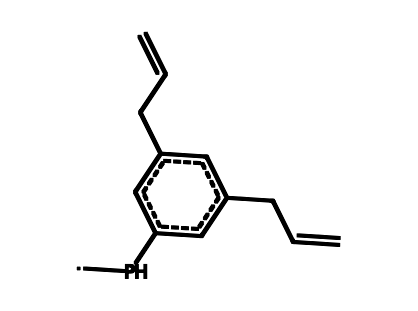 [CH2]Pc1cc(CC=C)cc(CC=C)c1